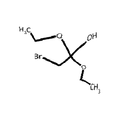 CCOC(O)(CBr)OCC